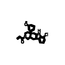 C=CC(=O)N1CCC2(c3cccc(OC)c3)Cc3[nH]c4c(Cl)cccc4c3CC2C1